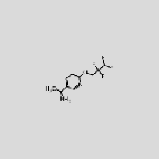 CC(N)C1=CCC(OCC(F)(F)C(F)F)N=C1